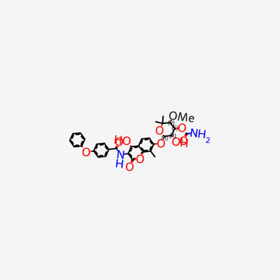 CO[C@@H]1[C@@H](OC(N)=O)[C@@H](O)[C@H](Oc2ccc3c(O)c(NC(=O)c4ccc(Oc5ccccc5)cc4)c(=O)oc3c2C)OC1(C)C